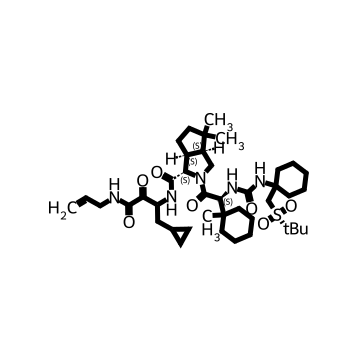 C=CCNC(=O)C(=O)C(CC1CC1)NC(=O)[C@@H]1[C@H]2CCC(C)(C)[C@H]2CN1C(=O)[C@@H](NC(=O)NC1(CS(=O)(=O)C(C)(C)C)CCCCC1)C1(C)CCCCC1